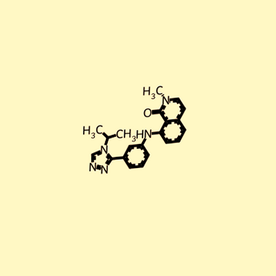 CC(C)n1cnnc1-c1cccc(Nc2cccc3ccn(C)c(=O)c23)c1